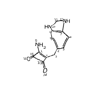 Nc1c(Cc2ccc3c(c2)NCN3)c(=O)c1=O